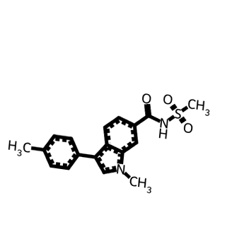 Cc1ccc(-c2cn(C)c3cc(C(=O)NS(C)(=O)=O)ccc23)cc1